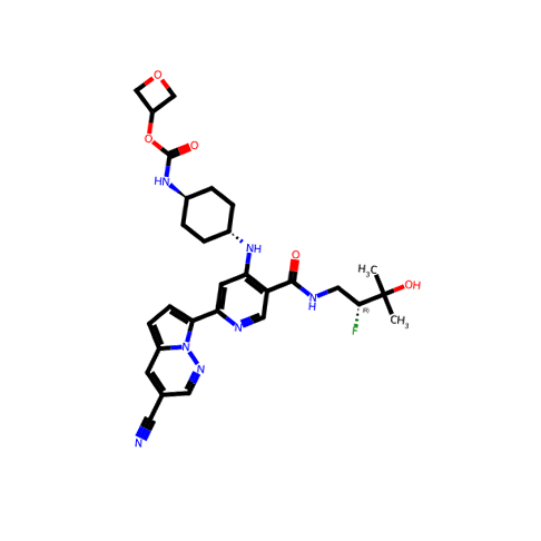 CC(C)(O)[C@H](F)CNC(=O)c1cnc(-c2ccc3cc(C#N)cnn23)cc1N[C@H]1CC[C@H](NC(=O)OC2COC2)CC1